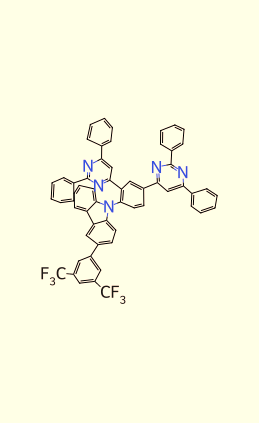 FC(F)(F)c1cc(-c2ccc3c(c2)c2ccccc2n3-c2ccc(-c3cc(-c4ccccc4)nc(-c4ccccc4)n3)cc2-c2cc(-c3ccccc3)nc(-c3ccccc3)n2)cc(C(F)(F)F)c1